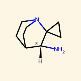 N[C@@H]1C2CCN(CC2)C12CC2